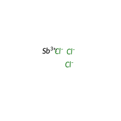 [Cl-].[Cl-].[Cl-].[Sb+3]